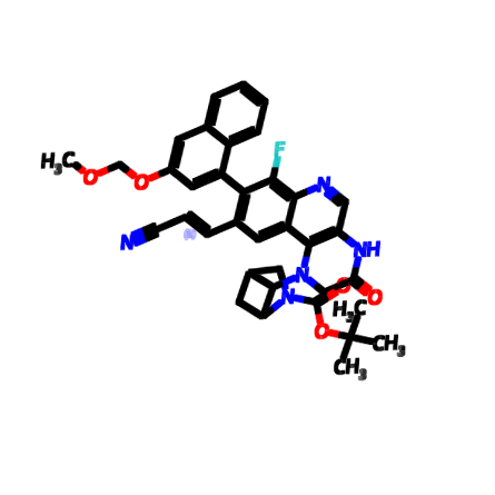 COCOc1cc(-c2c(/C=C/C#N)cc3c4c(cnc3c2F)NC(=O)CN4C2C3CC2N(C(=O)OC(C)(C)C)C3)c2ccccc2c1